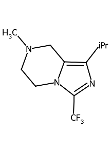 CC(C)c1nc(C(F)(F)F)n2c1CN(C)CC2